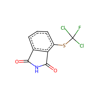 O=C1NC(=O)c2c(SC(F)(Cl)Cl)cccc21